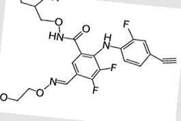 C#Cc1ccc(Nc2c(C(=O)NOCC(O)CO)cc(C=NOCCO)c(F)c2F)c(F)c1